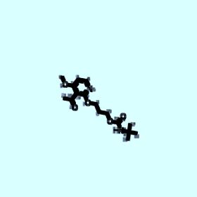 COc1ccnc(OCCCOC(=O)NC(C)(C)C)c1C(C)=O